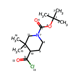 CC(C)(C)OC(=O)N1CCC(C(=O)Cl)C(C)(C)C1